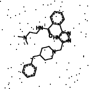 CN(C)CCNC(=O)c1ccccc1-c1nnc(CN2CCC(Cc3ccccc3)CC2)[nH]1